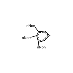 CCCCCCCCCc1c[c]cc(CCCCCCCCC)c1CCCCCCCCC